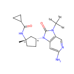 [2H]C([2H])([2H])n1c(=O)n([C@@H]2CC[C@](C)(NC(=O)C3CC3)C2)c2cc(N)ncc21